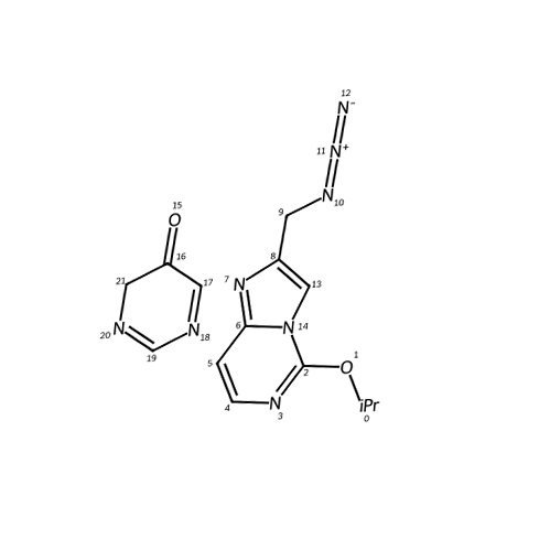 CC(C)Oc1nccc2nc(CN=[N+]=[N-])cn12.O=C1C=NC=NC1